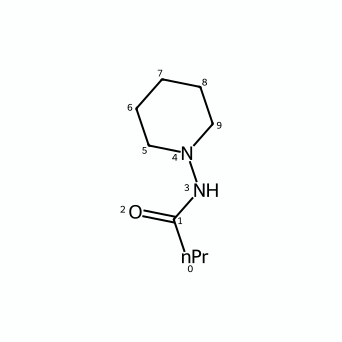 CCCC(=O)NN1CCCCC1